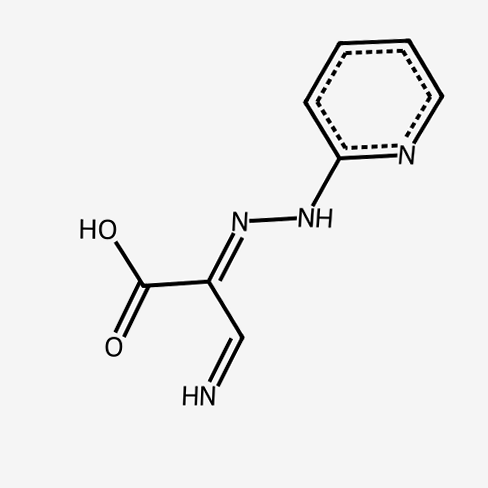 N=C/C(=N\Nc1ccccn1)C(=O)O